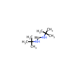 CC(C)(C)[NH][Mo][NH]C(C)(C)C